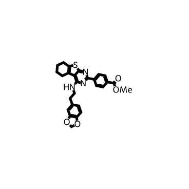 COC(=O)c1ccc(-c2nc(NCCc3ccc4c(c3)OCO4)c3c4c(sc3n2)CCCC4)cc1